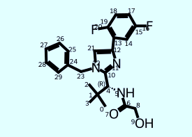 CC(C)(C)[C@@H](NC(=O)CO)c1nc(-c2cc(F)ccc2F)cn1Cc1ccccc1